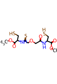 COC(=O)C(CS)NC(=O)COCC(=S)NC(CS)C(=O)OC